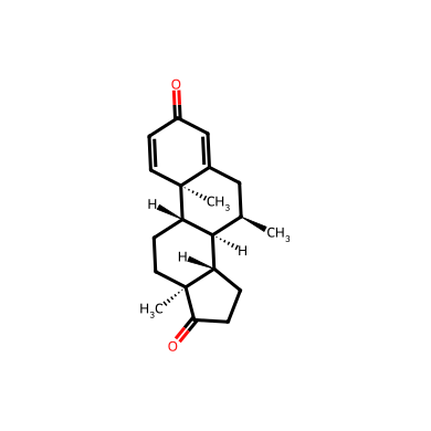 C[C@@H]1CC2=CC(=O)C=C[C@]2(C)[C@H]2CC[C@]3(C)C(=O)CC[C@H]3[C@H]12